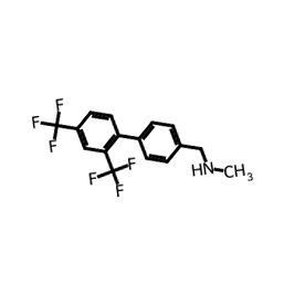 CNCc1ccc(-c2ccc(C(F)(F)F)cc2C(F)(F)F)cc1